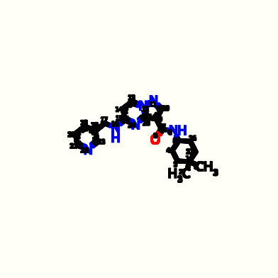 CC1(C)CCC(NC(=O)c2cnn3ccc(NCc4cccnc4)nc23)CC1